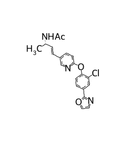 CC(=O)N[C@@H](C)/C=C/c1ccc(Oc2ccc(-c3ncco3)cc2Cl)nc1